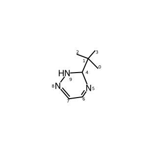 CC(C)(C)C1N=CC=NN1